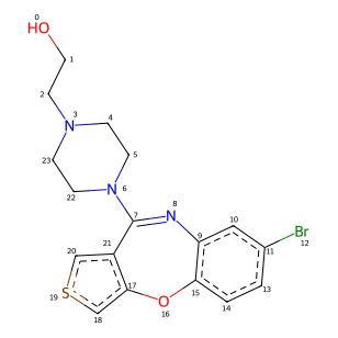 OCCN1CCN(C2=Nc3cc(Br)ccc3Oc3cscc32)CC1